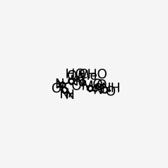 COc1cc(-c2cn(C)c(=O)c3cnc(N(C)C)cc23)cc(OC)c1CN1CCC(c2ccc3c(c2)C(=O)N(C2CCC(=O)NC2=O)C3)CC1.O=CO